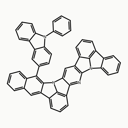 c1ccc(-n2c3ccccc3c3cc(-c4c5ccccc5cc5c6cccc7c8nc9c(cc8n(c45)c67)c4cccc5c6ccccc6n9c54)ccc32)cc1